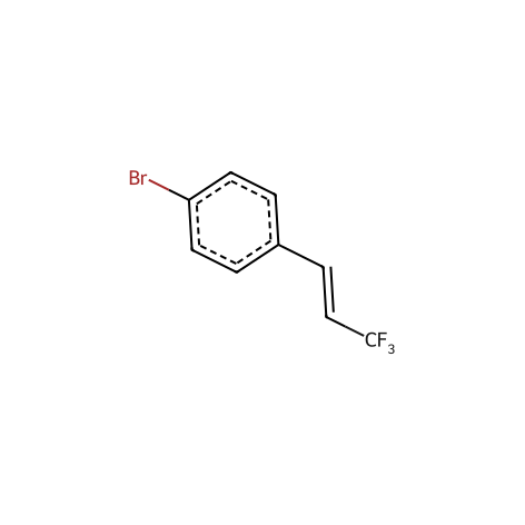 FC(F)(F)C=Cc1ccc(Br)cc1